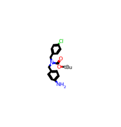 CC(C)(C)OC(=O)N(Cc1ccc(N)cc1)Cc1ccc(Cl)cc1